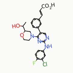 CC(O)C1CN(c2nc(Nc3ccc(F)c(Cl)c3)ncc2-c2cccc(C=CC(=O)O)c2)CCO1